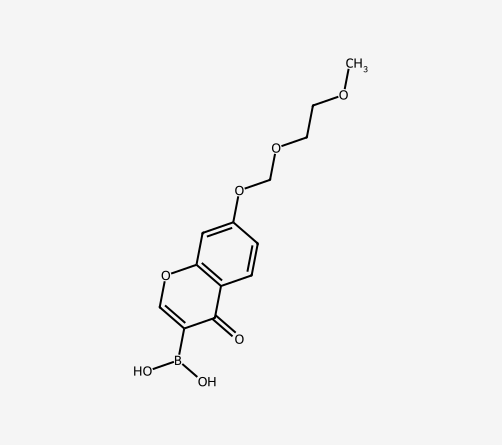 COCCOCOc1ccc2c(=O)c(B(O)O)coc2c1